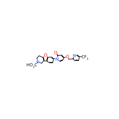 O=C(O)N1CCc2oc3cc(-n4ccc(OCc5ccc(C(F)(F)F)cn5)cc4=O)ccc3c2C1